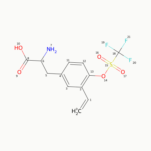 C=Cc1cc(CC(N)C(=O)O)ccc1OS(=O)(=O)C(F)(F)F